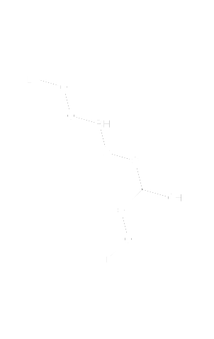 CCOOBOOC(C)OOCC